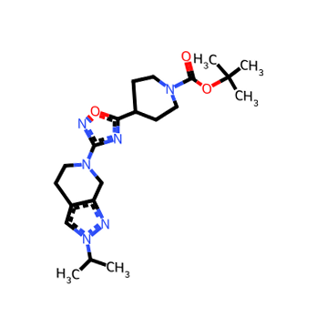 CC(C)n1cc2c(n1)CN(c1noc(C3CCN(C(=O)OC(C)(C)C)CC3)n1)CC2